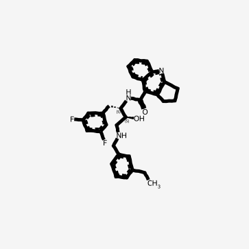 CCc1cccc(CNC[C@H](O)[C@H](Cc2cc(F)cc(F)c2)NC(=O)c2c3c(nc4ccccc24)CCC3)c1